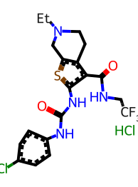 CCN1CCc2c(sc(NC(=O)Nc3ccc(Cl)cc3)c2C(=O)NCC(F)(F)F)C1.Cl